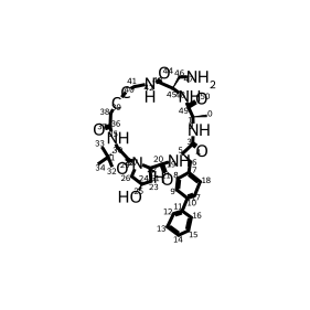 C[C@H]1NC(=O)[C@@H](Cc2ccc(-c3ccccc3)cc2)NC(=O)[C@@H]2C[C@@H](O)CN2C(=O)[C@H](C(C)(C)C)NC(=O)CCCCNC(=O)[C@@H](CN)NC1=O